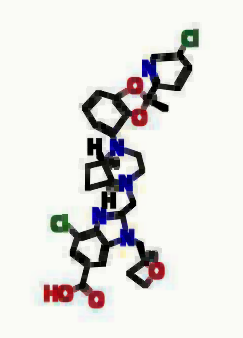 C[C@]1(c2ccc(Cl)cn2)Oc2cccc(N3CCN(Cc4nc5c(Cl)cc(C(=O)O)cc5n4C[C@@H]4CCO4)[C@H]4CC[C@@H]43)c2O1